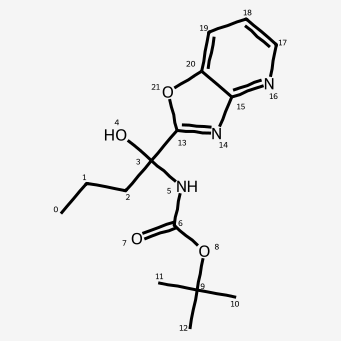 CCCC(O)(NC(=O)OC(C)(C)C)c1nc2ncccc2o1